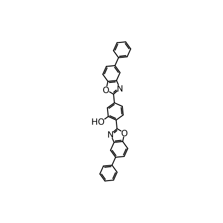 Oc1cc(-c2nc3cc(-c4ccccc4)ccc3o2)ccc1-c1nc2cc(-c3ccccc3)ccc2o1